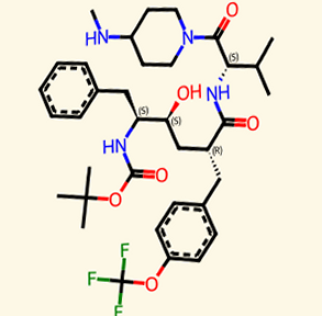 CNC1CCN(C(=O)[C@@H](NC(=O)[C@H](Cc2ccc(OC(F)(F)F)cc2)C[C@H](O)[C@H](Cc2ccccc2)NC(=O)OC(C)(C)C)C(C)C)CC1